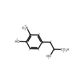 O=C(O)C(O)Cc1ccc(O)c([N+](=O)[O-])c1